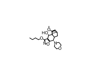 CCCCOc1noc2c1C(O)C13OC(C=C1OC)CC3[C@@H]2N1CCOCC1